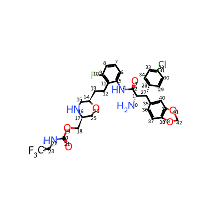 N[C@H](C(=O)Nc1cccc(F)c1CC[C@@H]1CN[C@H](COC(=O)NCC(F)(F)F)CO1)[C@H](c1ccc(Cl)cc1)c1ccc2c(c1)OCO2